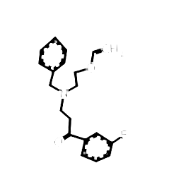 C=COCCN(CCC(=O)c1cccc(F)c1)Cc1ccccc1